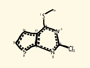 CSc1nc(Cl)nc2sccc12